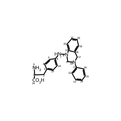 N[C@@H](Cc1ccc(NN2CN(c3ccccc3)Cc3ccccc32)cc1)C(=O)O